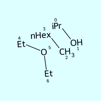 CC(C)O.CCCCCCC.CCOCC